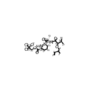 C=CC(C)COC(C(=O)N[C@@H](C)C(=O)N1CCC[C@@H](C(=O)OCC(Cl)(Cl)Cl)N1)C(C)C